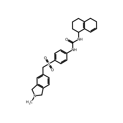 CN1Cc2ccc(CS(=O)(=O)c3ccc(NC(=O)NC4CCCC5=C4C=CCC5)cc3)cc2C1